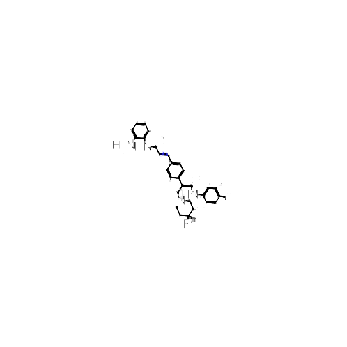 Nc1ccccc1NC(=O)/C=C/c1ccc(C(CN2CCC(F)(F)CC2)C(=O)Nc2ccc(Cl)cc2)cc1